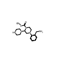 CC(C)(C)OC(=O)N1CCN(c2ccccc2CN)CC1N1CCNCC1